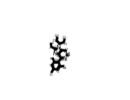 CCc1nc2c(-c3c(C)cc(C)cc3C)nncc2n1C(CC)CC